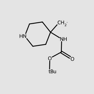 [CH2]C1(NC(=O)OC(C)(C)C)CCNCC1